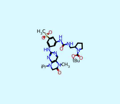 CC(C)N1CC(=O)N(C)c2cnc(Nc3cc(NC(=O)NCC4CCCN4C(=O)OC(C)(C)C)cc(S(C)(=O)=O)c3)nc21